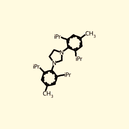 Cc1cc(C(C)C)c(N2CCN(c3c(C(C)C)cc(C)cc3C(C)C)C2)c(C(C)C)c1